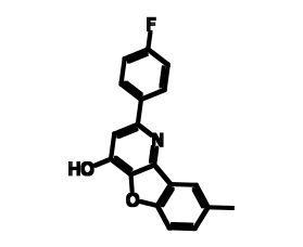 Cc1ccc2oc3c(O)cc(-c4ccc(F)cc4)nc3c2c1